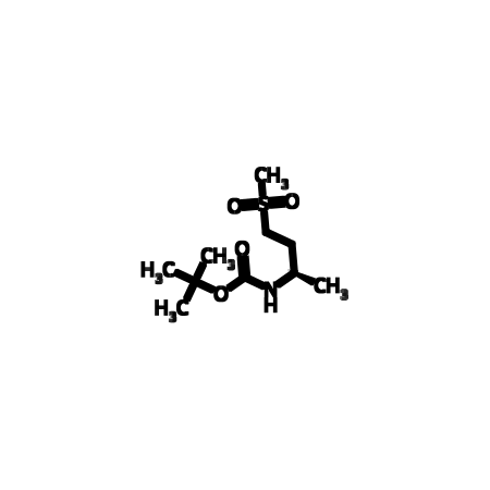 C[C@H](CCS(C)(=O)=O)NC(=O)OC(C)(C)C